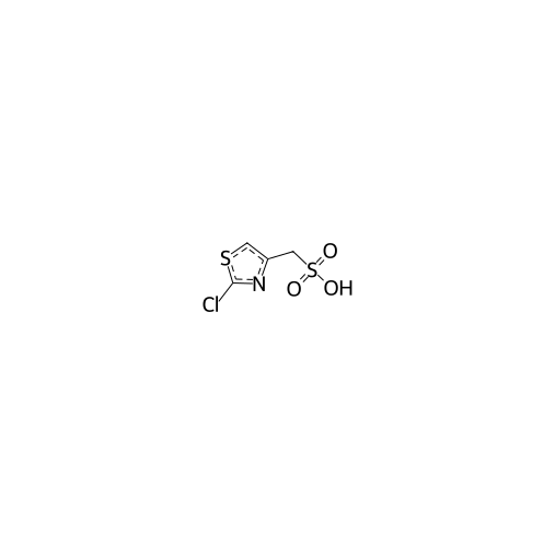 O=S(=O)(O)Cc1csc(Cl)n1